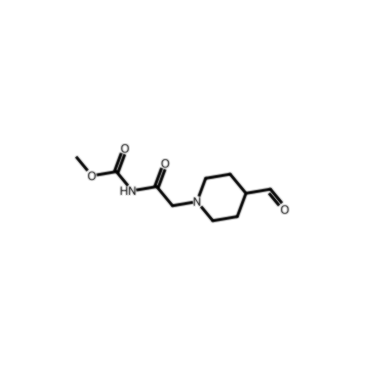 COC(=O)NC(=O)CN1CCC(C=O)CC1